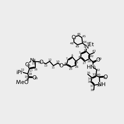 CCN(c1cc(-c2ccc(OCCCCOc3cc(C(C(=O)OC)C(C)C)on3)cc2)cc(C(=O)NCc2c(C)cc(C)[nH]c2=O)c1C)C1CCOCC1